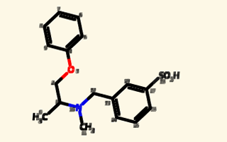 CC(COc1ccccc1)N(C)Cc1cccc(S(=O)(=O)O)c1